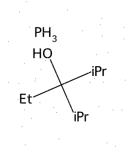 CCC(O)(C(C)C)C(C)C.P